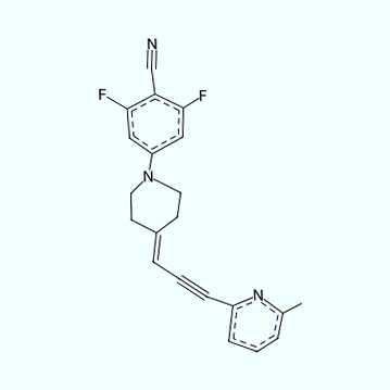 Cc1cccc(C#CC=C2CCN(c3cc(F)c(C#N)c(F)c3)CC2)n1